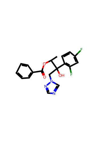 CC(OC(=O)c1ccccc1)C(O)(Cn1cncn1)c1ccc(F)cc1F